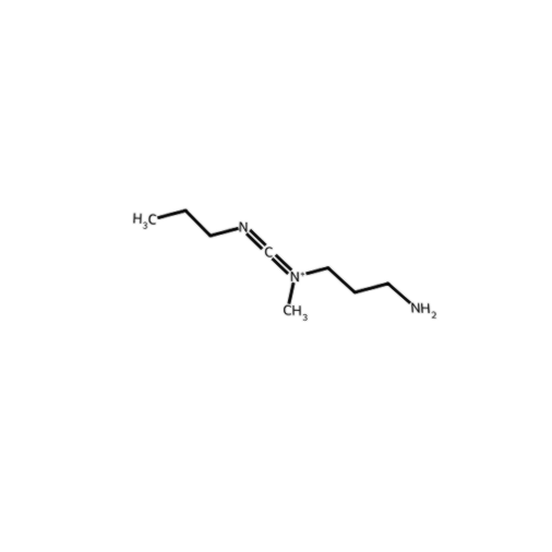 CCCN=C=[N+](C)CCCN